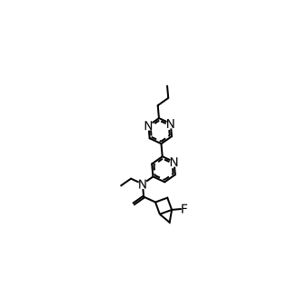 C=C(C1CC2(F)CC12)N(CC)c1ccnc(-c2cnc(CCC)nc2)c1